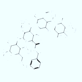 CCCCOCC1O[C@@H](OP)[C@@H](C)C(O[C@@H]2OC(C(=O)OCc3ccccc3)[C@H](O[C@@H]3O[C@@H](C)[C@H](OCCCC)C(OCCCC)C3O[C@@H]3O[C@@H](C)[C@H](OCCCC)C(C)C3O)C(OCCCC)[C@@H]2OCCCC)[C@H]1OCCCC